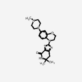 CN1CCN(c2ccc3c(c2)OCCN3c2nc3c(s2)C(=O)NC(C)(C)C3)CC1